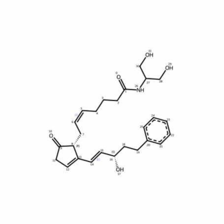 O=C(CCC/C=C\C[C@H]1C(=O)CC=C1/C=C/[C@@H](O)CCc1ccccc1)NC(CO)CO